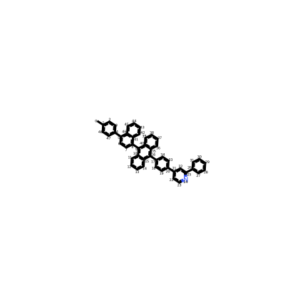 Cc1ccc(-c2ccc(-c3c4ccccc4c(-c4ccc(-c5ccnc(-c6ccccc6)c5)cc4)c4ccccc34)c3ccccc23)cc1